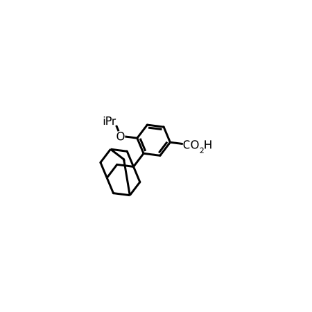 CC(C)Oc1ccc(C(=O)O)cc1C12CC3CC(CC(C3)C1)C2